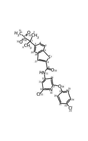 CC(C)(c1ccc2sc(C(=O)Nc3cc(Cl)nc(Oc4ccc(Cl)cn4)c3)cc2c1)S(C)(=O)=O